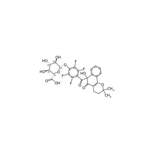 CC1(C)CCC2=C(O1)c1ccccc1C(O)(C(=O)c1c(F)c(F)c(O[C@@H]3O[C@H](C(=O)O)[C@@H](O)[C@H](O)[C@H]3O)c(F)c1F)C2=O